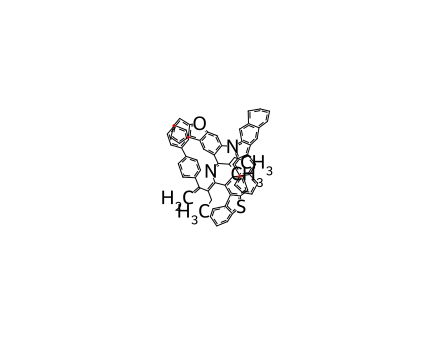 C=C(/C(CC)=C(\N=C(\c1cc2c(cc1-n1c3cc4ccccc4cc3c3cc4ccccc4cc31)oc1ccccc12)C(C)CC)c1cccc2sc3ccccc3c12)c1ccc(-c2ccccc2)cc1